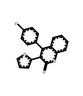 O=c1oc2ccccc2c(-c2ccc(Cl)cc2)c1-c1ccco1